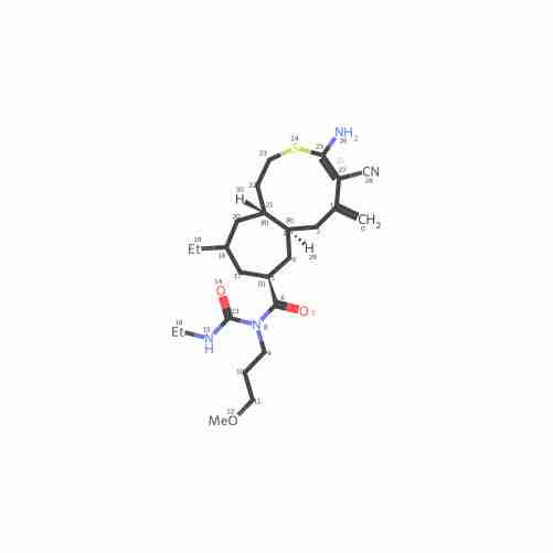 C=C1C[C@H]2C[C@@H](C(=O)N(CCCOC)C(=O)NCC)CC(CC)C[C@@H]2CCS/C(N)=C\1C#N